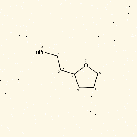 [CH2]CCCCC1CCCO1